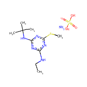 CCNc1nc(NC(C)(C)C)nc(SC)n1.N.O=S(=O)(O)O